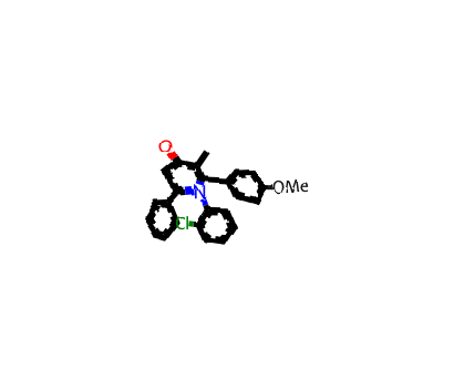 COc1ccc(-c2c(C)c(=O)cc(-c3ccccc3)n2-c2ccccc2Cl)cc1